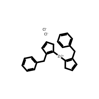 C1=CC(Cc2ccccc2)=[C]([Zr+2][C]2=C(Cc3ccccc3)C=CC2)C1.[Cl-].[Cl-]